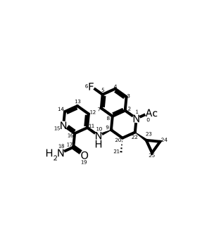 CC(=O)N1c2ccc(F)cc2[C@H](Nc2cccnc2C(N)=O)[C@@H](C)[C@@H]1C1CC1